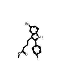 COC(=O)CCCc1c(-c2ccc(F)cc2)[nH]c2ccc(Br)cc12